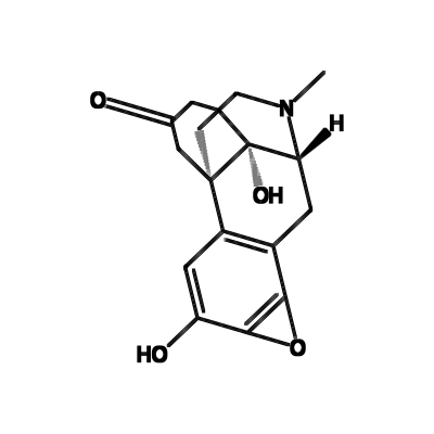 CN1CC[C@]23CC(=O)CC[C@@]2(O)[C@H]1Cc1c3cc(O)c2c1O2